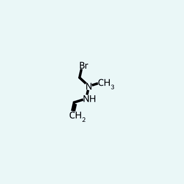 C=CNN(C)CBr